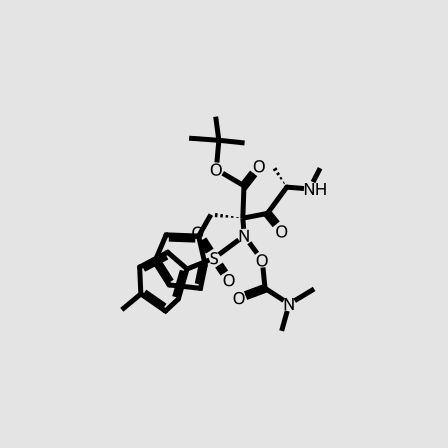 CN[C@@H](C)C(=O)[C@](Cc1ccccc1)(C(=O)OC(C)(C)C)N(OC(=O)N(C)C)S(=O)(=O)c1ccc(C)cc1